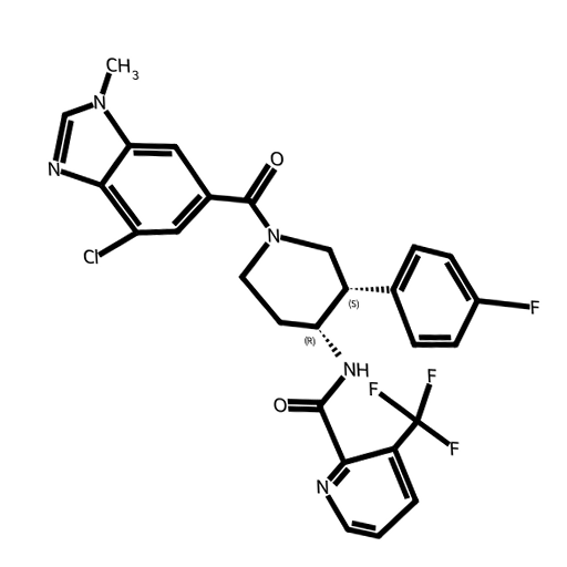 Cn1cnc2c(Cl)cc(C(=O)N3CC[C@@H](NC(=O)c4ncccc4C(F)(F)F)[C@@H](c4ccc(F)cc4)C3)cc21